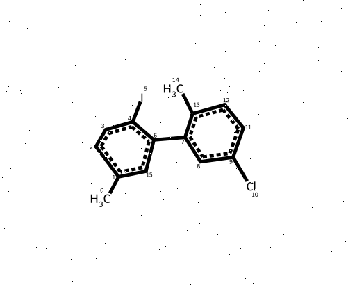 Cc1ccc(I)c(-c2cc(Cl)ccc2C)c1